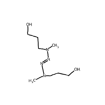 CN(CCCO)N=NN(C)CCCO